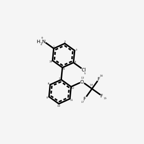 Nc1ccc(Cl)c(-c2ccccc2OC(F)(F)F)c1